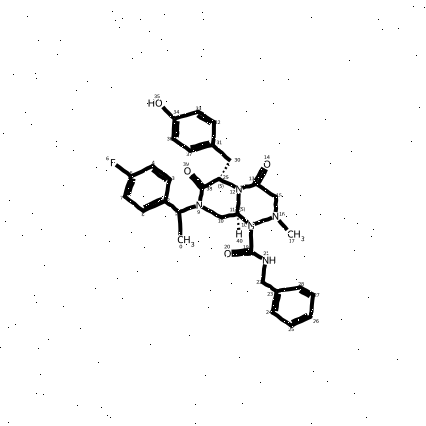 CC(c1ccc(F)cc1)N1C[C@H]2N(C(=O)CN(C)N2C(=O)NCc2ccccc2)[C@@H](Cc2ccc(O)cc2)C1=O